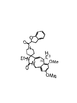 CCN1C(=O)N2Cc3cc(OC)cc(OC)c3[C@@H](C)C=C2C12CCN(C(=O)C1Cc3ccccc3O1)CC2